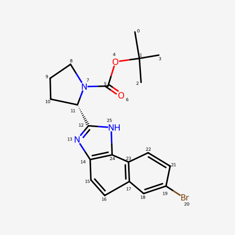 CC(C)(C)OC(=O)N1CCC[C@H]1c1nc2ccc3cc(Br)ccc3c2[nH]1